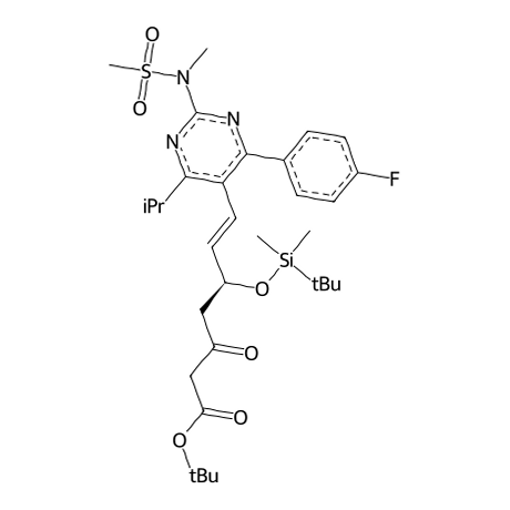 CC(C)c1nc(N(C)S(C)(=O)=O)nc(-c2ccc(F)cc2)c1/C=C/[C@H](CC(=O)CC(=O)OC(C)(C)C)O[Si](C)(C)C(C)(C)C